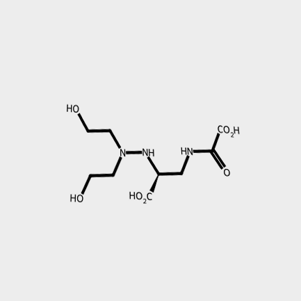 O=C(O)C(=O)NC[C@H](NN(CCO)CCO)C(=O)O